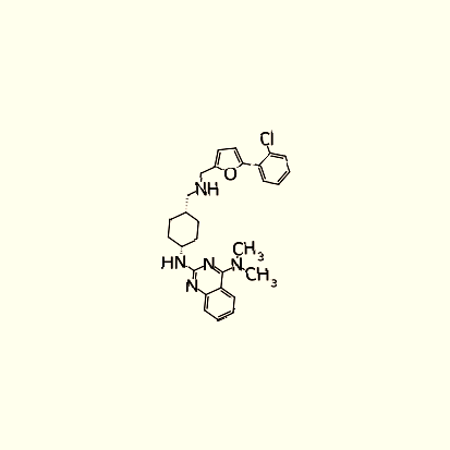 CN(C)c1nc(N[C@H]2CC[C@@H](CNCc3ccc(-c4ccccc4Cl)o3)CC2)nc2ccccc12